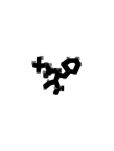 CCC(NC)C(CC1CCCCC1)NC(=O)OC(C)(C)C